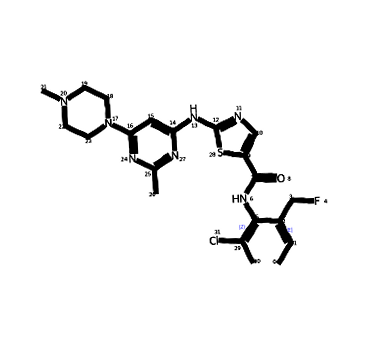 C/C=C(CF)\C(NC(=O)c1cnc(Nc2cc(N3CCN(C)CC3)nc(C)n2)s1)=C(/C)Cl